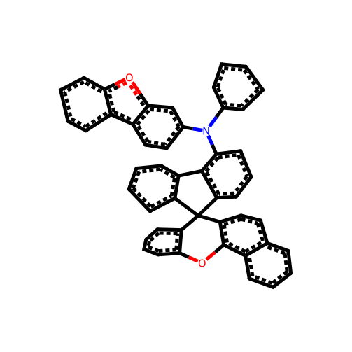 c1ccc(N(c2ccc3c(c2)oc2ccccc23)c2cccc3c2-c2ccccc2C32c3ccccc3Oc3c2ccc2ccccc32)cc1